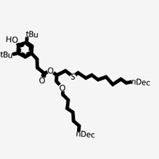 CCCCCCCCCCCCCCCCCCSCC(COCCCCCCCCCCCCCCCC)OC(=O)CCc1cc(C(C)(C)C)c(O)c(C(C)(C)C)c1